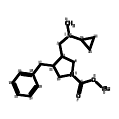 CN(CC1CN(C(=O)OC(C)(C)C)CC1Cc1ccccc1)C1CC1